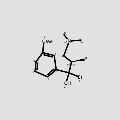 CCC(O)(c1cccc(OC)c1)[C@H](C)CN(C)C